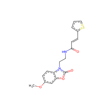 COc1ccc2c(c1)oc(=O)n2CCNC(=O)/C=C/c1cccs1